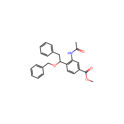 COC(=O)c1ccc(C(Cc2ccccc2)OCc2ccccc2)c(NC(C)=O)c1